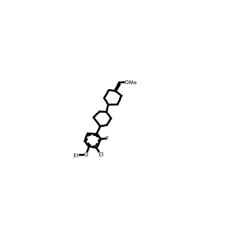 CCOc1ccc(C2CCC(C3CCC(=COC)CC3)CC2)c(F)c1Cl